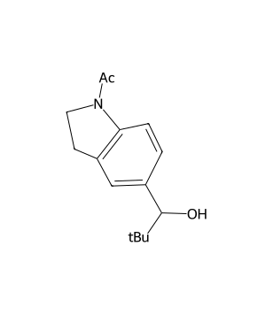 CC(=O)N1CCc2cc(C(O)C(C)(C)C)ccc21